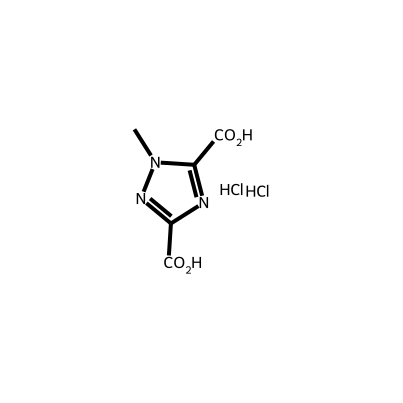 Cl.Cl.Cn1nc(C(=O)O)nc1C(=O)O